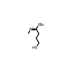 C/N=C(\CCCS)C(C)(C)C